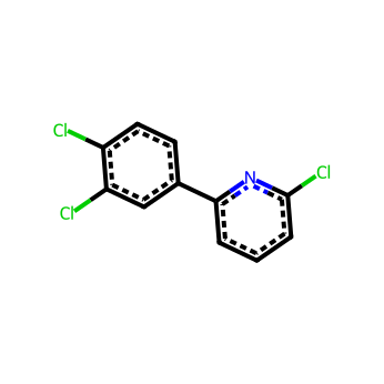 Clc1cccc(-c2ccc(Cl)c(Cl)c2)n1